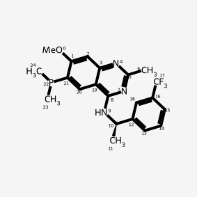 COc1cc2nc(C)nc(N[C@H](C)c3cccc(C(F)(F)F)c3)c2cc1P(C)C